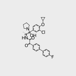 C[C@@H](NC(=O)C(=O)c1ccc(-c2ccc(F)cc2)cc1)[C@](O)(c1ccc(OC2CC2)c(Cl)c1)N1CCCC1